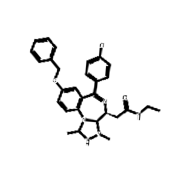 CCNC(=O)C[C@@H]1N=C(c2ccc(Cl)cc2)c2cc(OCc3ccccc3)ccc2N2C(C)NN(C)C12